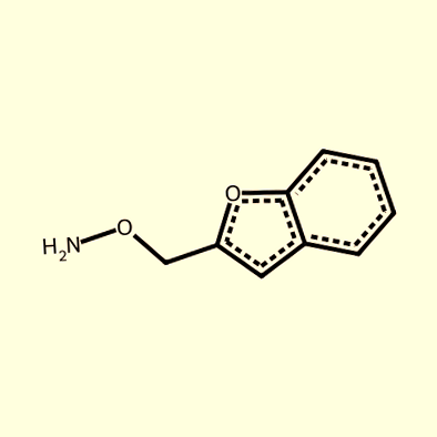 NOCc1cc2ccccc2o1